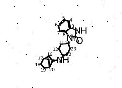 O=c1[nH]c2ccccc2n1C1CCC(NC2CC3CCC2C3)CC1